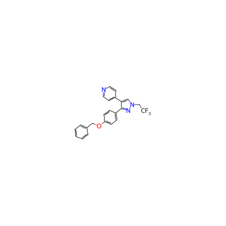 FC(F)(F)Cn1cc(-c2ccncc2)c(-c2ccc(OCc3ccccc3)cc2)n1